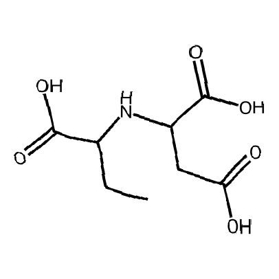 CCC(NC(CC(=O)O)C(=O)O)C(=O)O